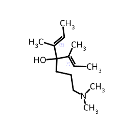 C/C=C(\C)C(O)(CCCN(C)C)/C(C)=C/C